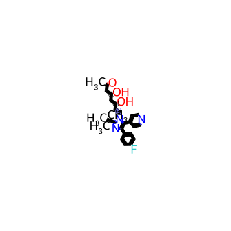 CC(=O)C[C@H](O)C[C@H](O)/C=C/n1c(C(C)(C)C)nc(-c2ccc(F)cc2)c1-c1ccncc1